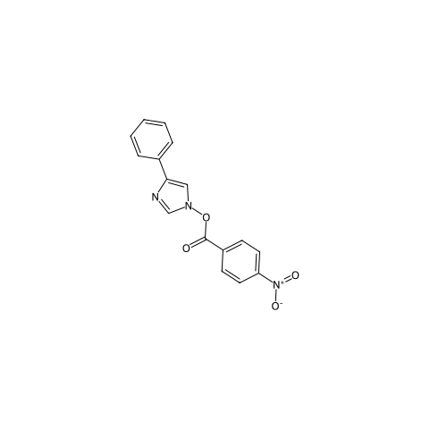 O=C(On1cnc(-c2ccccc2)c1)c1ccc([N+](=O)[O-])cc1